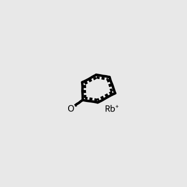 [O-]c1ccccc1.[Rb+]